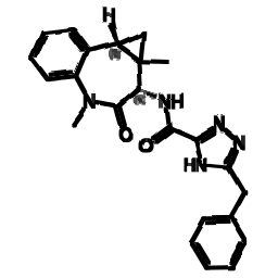 CN1C(=O)[C@@H](NC(=O)c2nnc(Cc3ccccc3)[nH]2)C2(C)C[C@H]2c2ccccc21